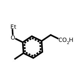 CCOc1cc(CC(=O)O)ccc1C